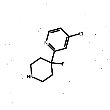 FC1(c2cc(Cl)ccn2)CCNCC1